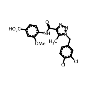 COc1cc(C(=O)O)ccc1NC(=O)c1nnn(Cc2ccc(Cl)c(Cl)c2)c1C